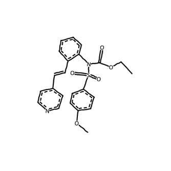 CCOC(=O)N(c1ccccc1C=Cc1ccncc1)S(=O)(=O)c1ccc(OC)cc1